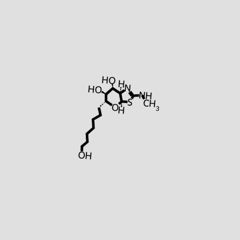 CNC1=N[C@@H]2[C@@H](O)[C@H](O)[C@@H](CCCCCCCO)O[C@@H]2S1